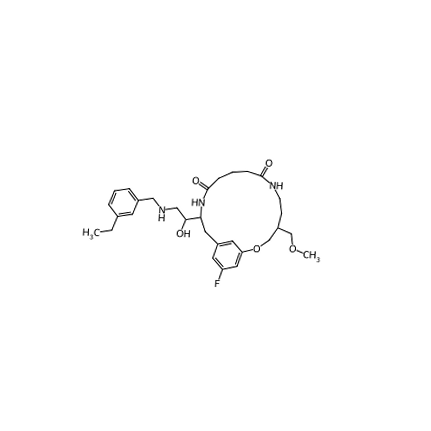 CCc1cccc(CNCC(O)C2Cc3cc(F)cc(c3)OCC(COC)CCNC(=O)CCCC(=O)N2)c1